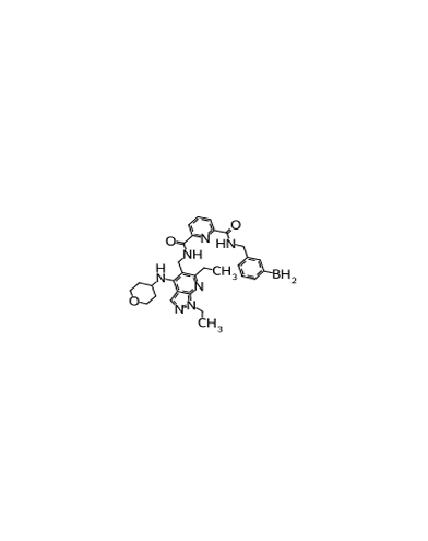 Bc1cccc(CNC(=O)c2cccc(C(=O)NCc3c(CC)nc4c(cnn4CC)c3NC3CCOCC3)n2)c1